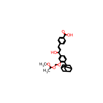 COC(C)OCOc1cc(C(O)C=Cc2ccc(C(=O)O)cc2)ccc1C12CC3CC(CC(C3)C1)C2